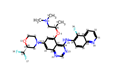 C[C@H](CN(C)C)Oc1cc(N2CCO[C@@H](C(F)F)C2)cc2ncnc(Nc3ccc4ncccc4c3F)c12